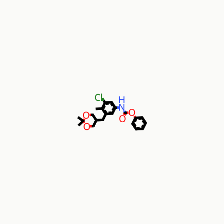 Cc1c(Cl)cc(NC(=O)Oc2ccccc2)cc1CC1COC(C)(C)OC1